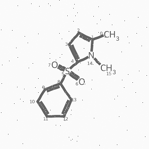 Cc1ccc(S(=O)(=O)c2ccccc2)n1C